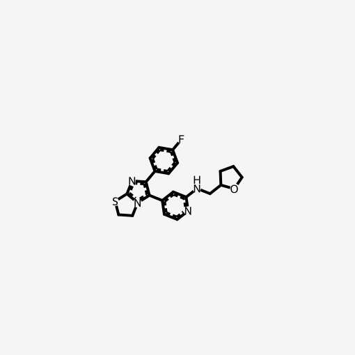 Fc1ccc(-c2nc3n(c2-c2ccnc(NCC4CCCO4)c2)CCS3)cc1